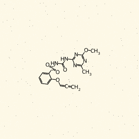 C=C=COc1ccccc1S(=O)(=O)NC(=O)Nc1nc(C)nc(OC)n1